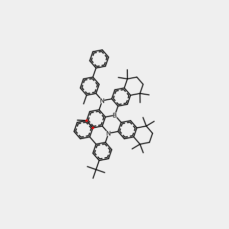 Cc1cc2c3c(c1)N(c1ccc(C(C)(C)C)cc1-c1ccccc1)c1cc4c(cc1B3c1cc3c(cc1N2c1cc(-c2ccccc2)ccc1C)C(C)(C)CCC3(C)C)C(C)(C)CCC4(C)C